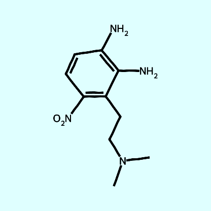 CN(C)CCc1c([N+](=O)[O-])ccc(N)c1N